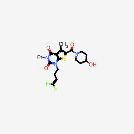 CCn1c(=O)c2c(C)c(C(=O)N3CCC(O)CC3)sc2n(CCC=C(F)F)c1=O